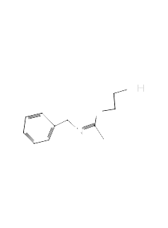 CC(=NCc1ccccc1)OCCO